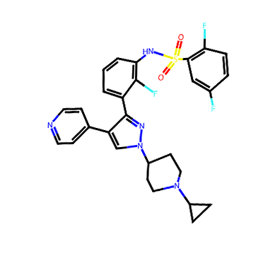 O=S(=O)(Nc1cccc(-c2nn(C3CCN(C4CC4)CC3)cc2-c2ccncc2)c1F)c1cc(F)ccc1F